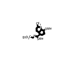 CCOC(=O)CN=C(SC)c1ccc(OC)c2nc(C(F)(F)F)ccc12